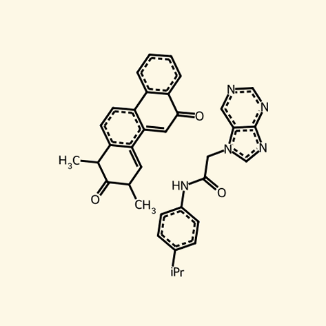 CC(C)c1ccc(NC(=O)Cn2cnc3ncncc32)cc1.CC1C=c2c(ccc3c2=CC(=O)c2ccccc2-3)C(C)C1=O